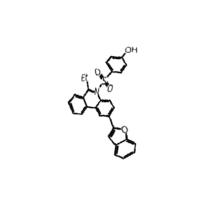 CCC1c2ccccc2-c2cc(-c3cc4ccccc4o3)ccc2N1S(=O)(=O)c1ccc(O)cc1